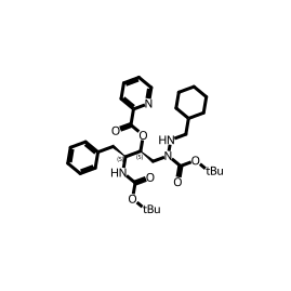 CC(C)(C)OC(=O)N[C@@H](Cc1ccccc1)[C@H](CN(NCC1CCCCC1)C(=O)OC(C)(C)C)OC(=O)c1ccccn1